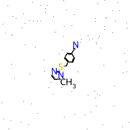 Cc1ccnc(SCc2ccc(C#N)cc2)n1